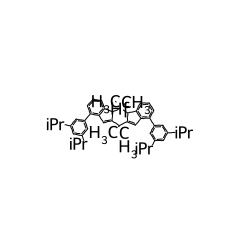 CC(C)c1cc(-c2cccc3c2C=C2[CH]3[Hf]([CH3])([CH3])[CH]3C(=Cc4c(-c5cc(C(C)C)cc(C(C)C)c5)cccc43)C2(C)C)cc(C(C)C)c1